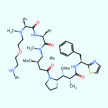 CC[C@H](C)[C@@H]([C@@H](CC(=O)N1CCC[C@H]1[C@H](OC)[C@@H](C)C(=O)N[C@@H](Cc1ccccc1)c1nccs1)OC)N(C)C(=O)[C@@H](NC(=O)[C@H](C(C)C)N(C)CCOCCNC(C)C)C(C)C